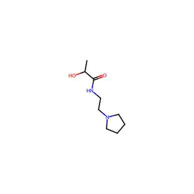 CC(O)C(=O)NCCN1CCCC1